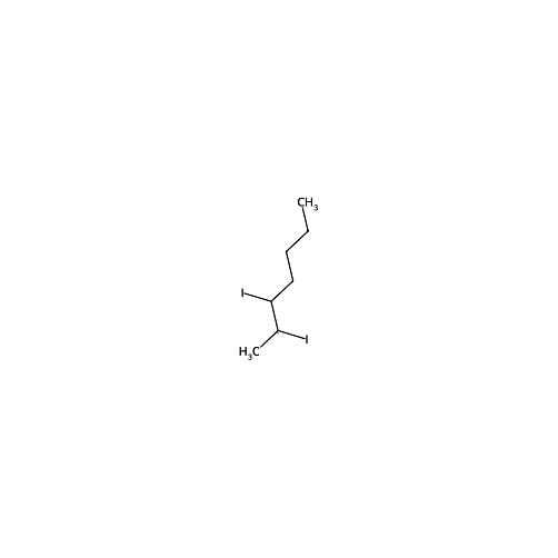 CCCCC(I)[C](C)I